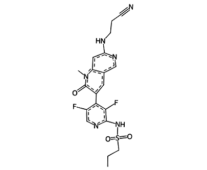 CCCS(=O)(=O)Nc1ncc(F)c(-c2cc3cnc(NCCC#N)cc3n(C)c2=O)c1F